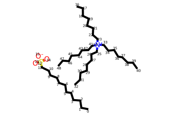 CCCCCCCCCCCCS(=O)(=O)[O-].CCCCCCCC[N+](CCCCCCCC)(CCCCCCCC)CCCCCCCC